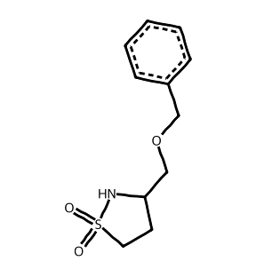 O=S1(=O)CCC(COCc2ccccc2)N1